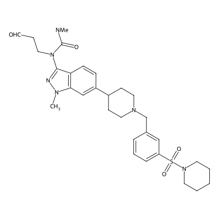 CNC(=O)N(CCC=O)c1nn(C)c2cc(C3CCN(Cc4cccc(S(=O)(=O)N5CCCCC5)c4)CC3)ccc12